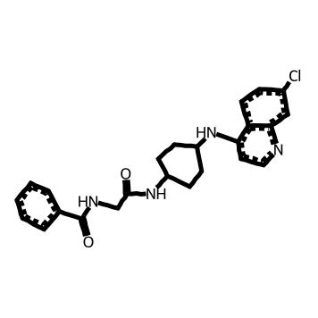 O=C(CNC(=O)c1ccccc1)NC1CCC(Nc2ccnc3cc(Cl)ccc23)CC1